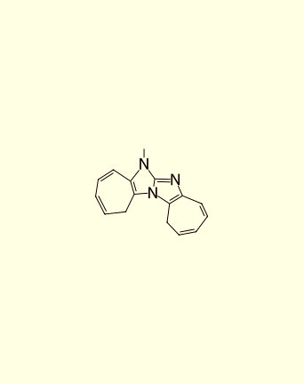 Cn1c2c(n3c4c(nc13)C=CC=CC4)CC=CC=C2